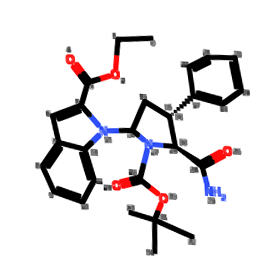 CCOC(=O)c1cc2ccccc2n1C1C[C@H](c2ccccc2)[C@@H](C(N)=O)N1C(=O)OC(C)(C)C